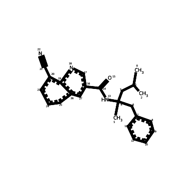 CC(C)CC(C)(Cc1ccccc1)NC(=O)c1cnc2c(C#N)cccc2c1